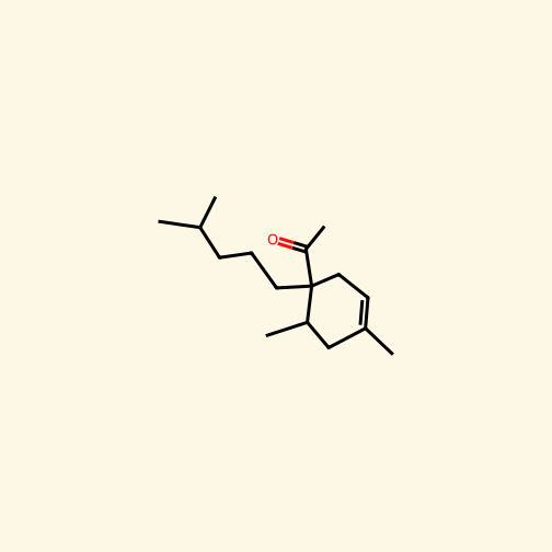 CC(=O)C1(CCCC(C)C)CC=C(C)CC1C